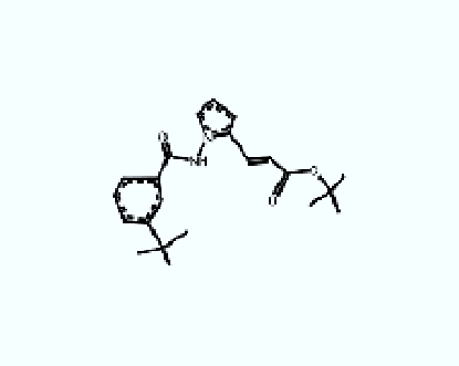 CC(C)(C)OC(=O)C=Cc1cccn1NC(=O)c1cccc(C(C)(C)C)c1